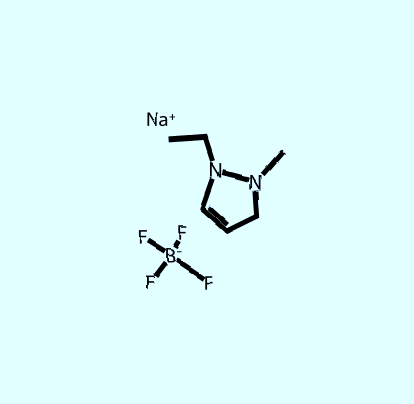 CCN1C=CCN1C.F[B-](F)(F)F.[Na+]